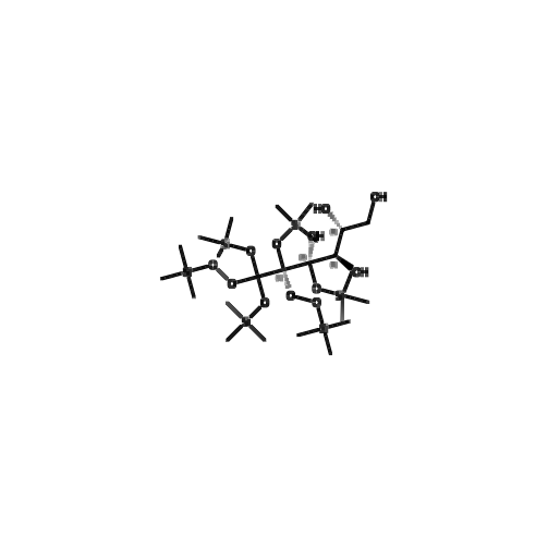 C[Si](C)(C)OOC(O[Si](C)(C)C)(O[Si](C)(C)C)[C@@](OO[Si](C)(C)C)(O[Si](C)(C)C)[C@](O)(O[Si](C)(C)C)[C@H](O)[C@H](O)CO